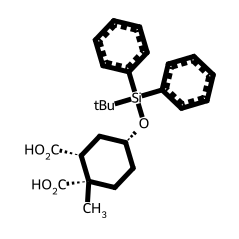 CC(C)(C)[Si](O[C@@H]1CC[C@](C)(C(=O)O)[C@H](C(=O)O)C1)(c1ccccc1)c1ccccc1